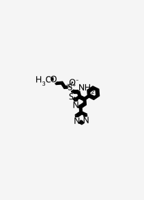 COCCC[S@@+]([O-])c1sc2nc(-c3cncnc3)cc(-c3ccccc3)c2c1N